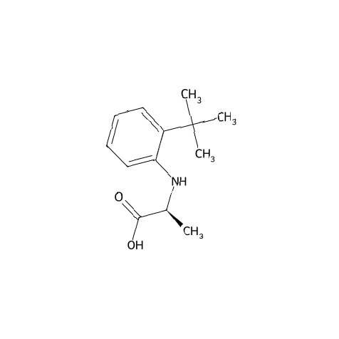 C[C@H](Nc1ccccc1C(C)(C)C)C(=O)O